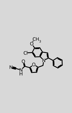 COc1cc2cc(-c3ccccc3)n(Cc3ccc(C(=O)NC#N)o3)c2cc1Cl